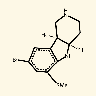 CSc1cc(Br)cc2c1N[C@@H]1CCNC[C@H]21